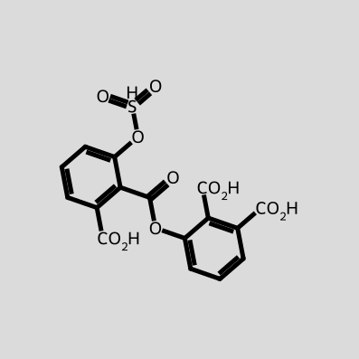 O=C(O)c1cccc(OC(=O)c2c(O[SH](=O)=O)cccc2C(=O)O)c1C(=O)O